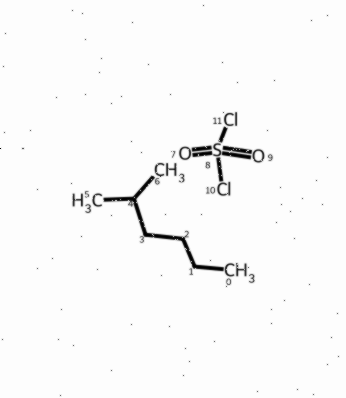 CCCCC(C)C.O=S(=O)(Cl)Cl